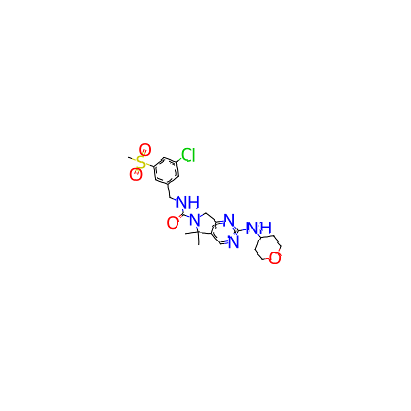 CC1(C)c2cnc(NC3CCOCC3)nc2CN1C(=O)NCc1cc(Cl)cc(S(C)(=O)=O)c1